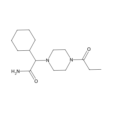 CCC(=O)N1CCN(C(C(N)=O)C2CCCCC2)CC1